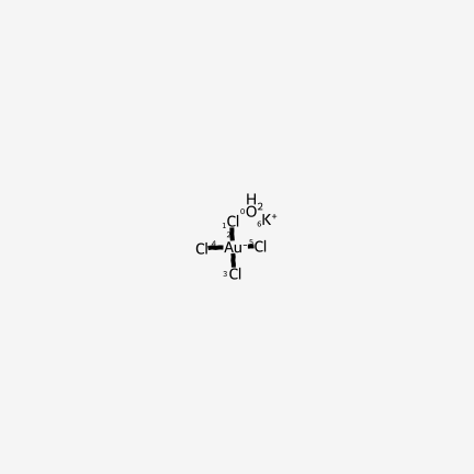 O.[Cl][Au-]([Cl])([Cl])[Cl].[K+]